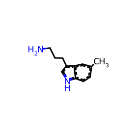 Cc1ccc2[nH]cc(CCCN)c2c1